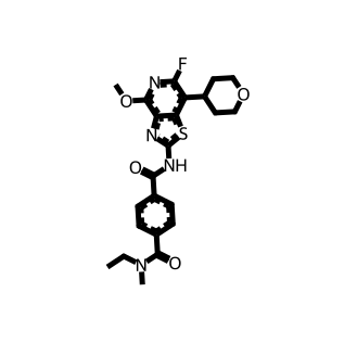 CCN(C)C(=O)c1ccc(C(=O)Nc2nc3c(OC)nc(F)c(C4CCOCC4)c3s2)cc1